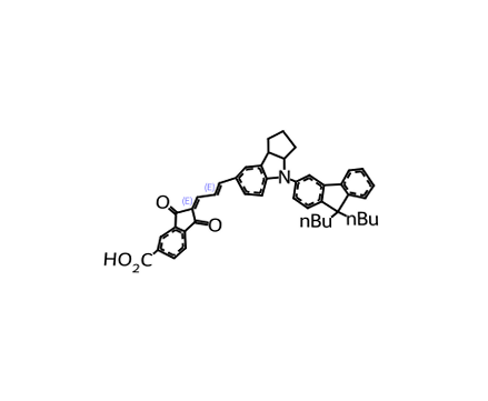 CCCCC1(CCCC)c2ccccc2-c2cc(N3c4ccc(/C=C/C=C5\C(=O)c6ccc(C(=O)O)cc6C5=O)cc4C4CCCC43)ccc21